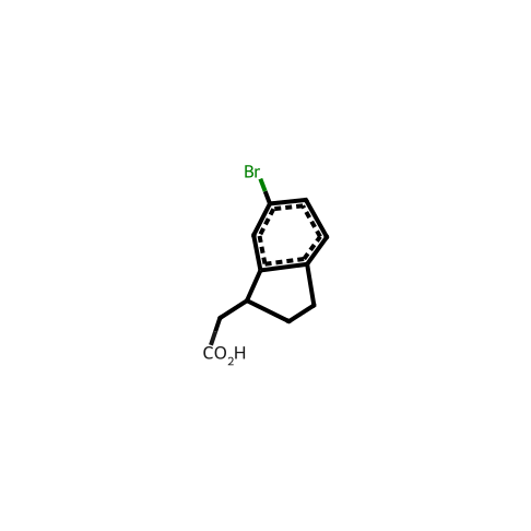 O=C(O)CC1CCc2ccc(Br)cc21